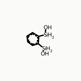 O[SiH2]c1ccccc1[SiH2]O